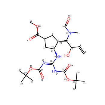 C=CC(O)C([C@@H]1CC(C(=O)OC)C[C@@H]1NC(=NC(=O)OC(C)(C)C)NC(=O)OC(C)(C)C)N(C)C=O